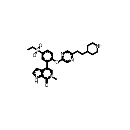 CCS(=O)(=O)c1ccc(Oc2cnc(CCC3CCNCC3)cn2)c(-c2cn(C)c(=O)c3[nH]ccc23)c1